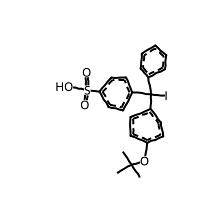 CC(C)(C)Oc1ccc(C(I)(c2ccccc2)c2ccc(S(=O)(=O)O)cc2)cc1